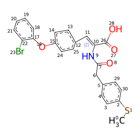 CSc1ccc(CC(=O)N/C(=C\c2ccc(Oc3ccccc3Br)cc2)C(=O)O)cc1